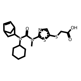 CN(C(=O)N(C1CCCCC1)C1CC2C=CC1C2)c1ncc(SCC(=O)O)s1